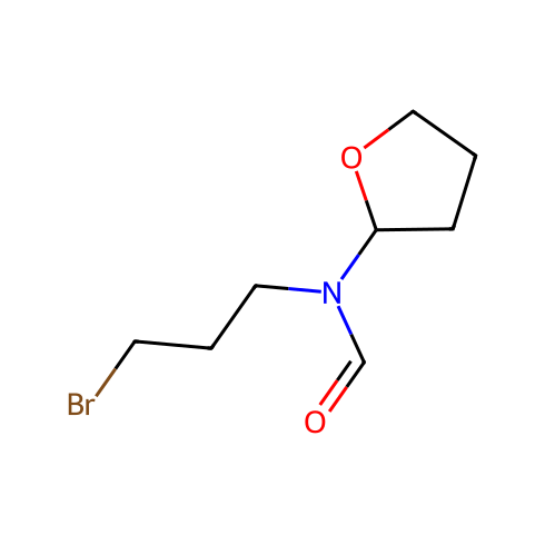 O=CN(CCCBr)C1CCCO1